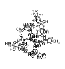 CN[C@H](CC(C)C)C(=O)N[C@H]1C(=O)N[C@@H](CC(=O)NC(=O)Nc2ccc(C)cc2)C(=O)N[C@H]2C(=O)N[C@H]3C(=O)N[C@H](C(=O)N[C@H](C(=O)NC4C5CC6CC(C5)CC4C6)c4cc(O)cc(O)c4-c4cc3ccc4O)[C@H](O)[C@@H]3C=C(Cl)C(=CC3)Oc3cc2cc(c3O[C@@H]2O[C@H](CO)[C@@H](O)[C@H](O)[C@H]2O)Oc2ccc(cc2C)[C@H]1O